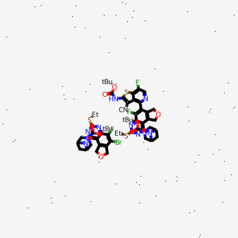 CCSc1nc(N2C3CC2CN(C(=O)OC(C)(C)C)C3)c2c3c(c(-c4ncc(F)c5sc(NC(=O)OC(C)(C)C)c(C#N)c45)c(F)c2n1)COC3.CCSc1nc(N2C3CC2CN(C(=O)OC(C)(C)C)C3)c2c3c(c(Br)c(F)c2n1)COC3